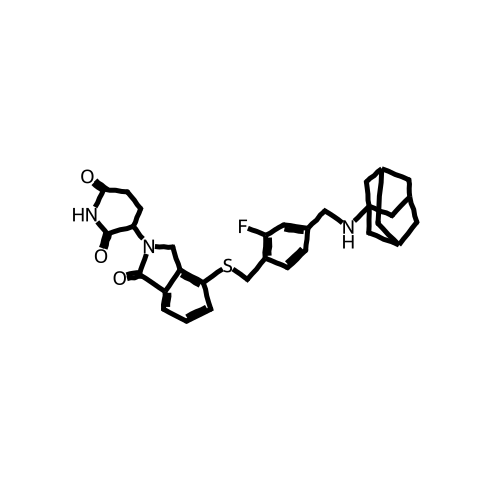 O=C1CCC(N2Cc3c(SCc4ccc(CNC56CC7CC(CC(C7)C5)C6)cc4F)cccc3C2=O)C(=O)N1